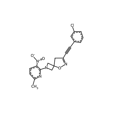 Cc1ccc([N+](=O)[O-])c(N2CC3(CC(C#Cc4cccc(Cl)c4)=NO3)C2)n1